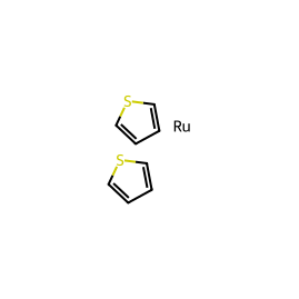 [Ru].c1ccsc1.c1ccsc1